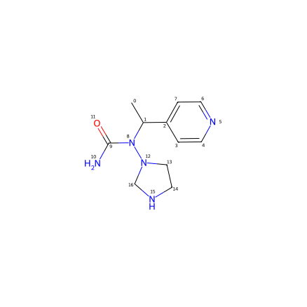 CC(c1ccncc1)N(C(N)=O)N1CCNC1